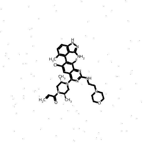 C=CC(=O)N1C[C@H](C)N(c2nc(NCCN3CCOCC3)nc3c(F)c(-c4c(C)ccc5[nH]nc(N)c45)c(Cl)cc23)C[C@H]1C